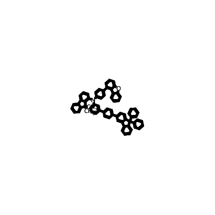 CC1(C)c2ccccc2-c2cccc(N(c3ccc(-c4cccc5oc6ccccc6c45)cc3)c3cccc(-c4ccc(-c5ccc6c(c5)-c5ccccc5C6(c5ccccc5)c5ccccc5)cc4)c3)c21